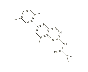 Cc1ccc(C)c(-c2cc(C)c3cc(NC(=O)C4CC4)ncc3n2)c1